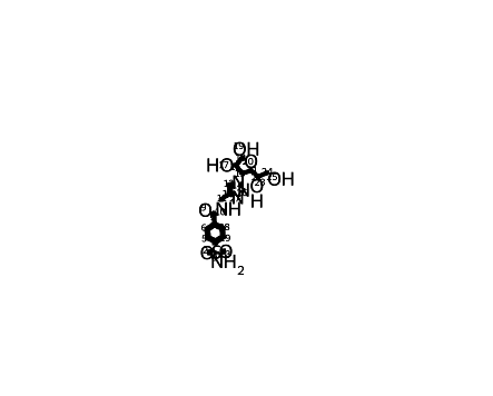 NS(=O)(=O)c1ccc(C(=O)NCc2cn(C3C(O)C(O)OC3C(O)CO)nn2)cc1